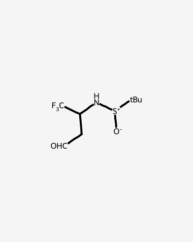 CC(C)(C)[S+]([O-])NC(CC=O)C(F)(F)F